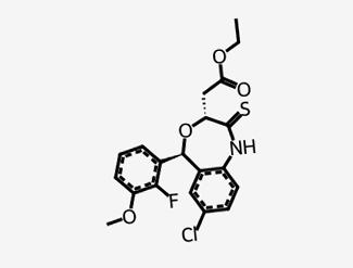 CCOC(=O)C[C@H]1O[C@H](c2cccc(OC)c2F)c2cc(Cl)ccc2NC1=S